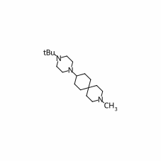 CN1CCC2(CCC(N3CCN(C(C)(C)C)CC3)CC2)CC1